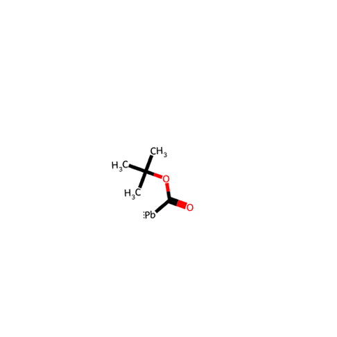 CC(C)(C)O[C](=O)[Pb]